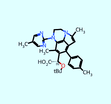 Cc1ccc(-c2c([C@H](OC(C)(C)C)C(=O)O)c(C)c3c4c2cc(C)n4CCN3c2ncc(C)cn2)cc1